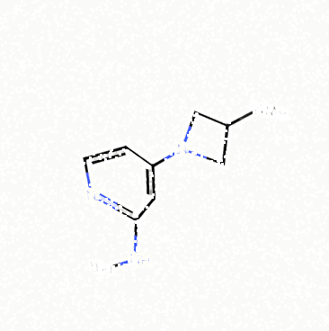 CNC1CN(c2ccnc(NC(C)(C)C)c2)C1